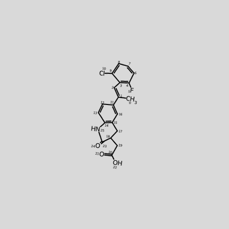 C/C(=C\c1c(F)cccc1Cl)c1ccc2c(c1)CC(CC(=O)O)C(=O)N2